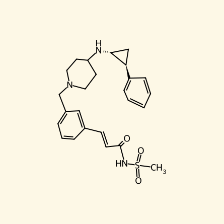 CS(=O)(=O)NC(=O)C=Cc1cccc(CN2CCC(N[C@@H]3C[C@H]3c3ccccc3)CC2)c1